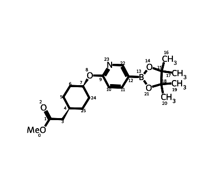 COC(=O)C[C@H]1CC[C@@H](Oc2ccc(B3OC(C)(C)C(C)(C)O3)cn2)CC1